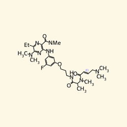 CCc1nc(C(=O)NC)c(Nc2cc(F)cc(OCCCNC(=O)C(C)N(C)C(=O)/C=C/CN(C)C)c2)nc1N(C)C